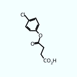 O=C(O)CCC(=O)Oc1ccc(Cl)cc1